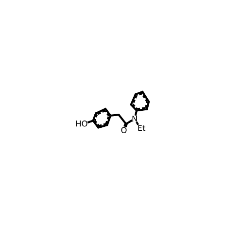 CCN(C(=O)Cc1ccc(O)cc1)c1ccccc1